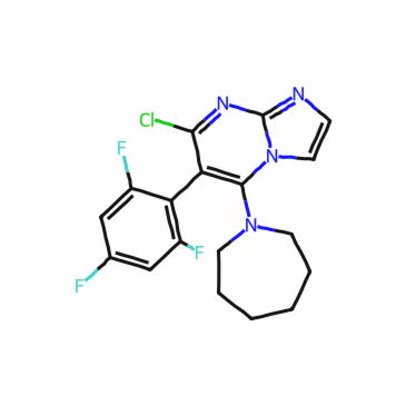 Fc1cc(F)c(-c2c(Cl)nc3nccn3c2N2CCCCCC2)c(F)c1